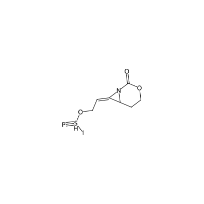 O=C1OCCC2/C(=C\CO[SH](#P)I)N12